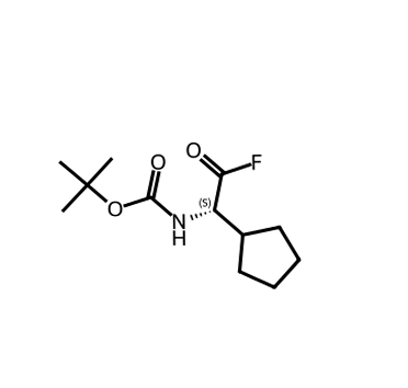 CC(C)(C)OC(=O)N[C@H](C(=O)F)C1CCCC1